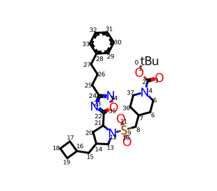 CC(C)(C)OC(=O)N1CCC(CS(=O)(=O)N2CC(CC3CCC3)CC2c2nc(CCCc3ccccc3)no2)CC1